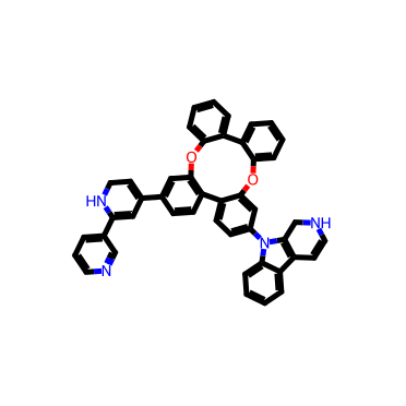 C1=Cc2c(n(-c3ccc4c(c3)Oc3ccccc3-c3ccccc3Oc3cc(C5=CCNC(c6cccnc6)=C5)ccc3-4)c3ccccc23)CN1